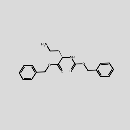 NCC[C@H](NC(=O)OCc1ccccc1)C(=O)OCc1ccccc1